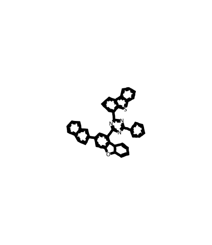 C1=CC2Oc3cc(-c4ccc5ccccc5c4)cc(-c4nc(-c5ccccc5)nc(-c5cccc6c5sc5ccccc56)n4)c3C2C=C1